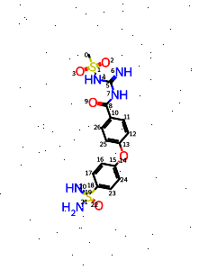 CS(=O)(=O)NC(=N)NC(=O)c1ccc(Oc2ccc(S(=N)(N)=O)cc2)cc1